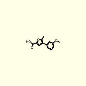 COc1cccc(-c2cc(C(=O)O)oc2C)c1